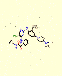 COc1cc(N2CCC(N(C)C)CC2)ccc1Nc1ncc(Cl)c(Nc2ccccc2C(=O)C(=O)NC2CC2)n1